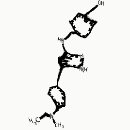 CN(C)c1ccc(-c2cc(Nc3ccc(O)cc3)n[nH]2)cc1